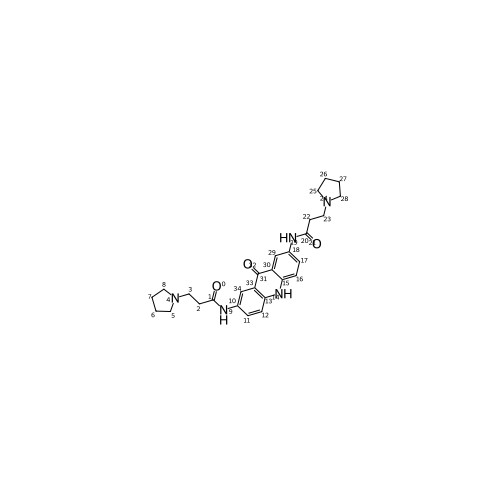 O=C(CCN1CCCC1)Nc1ccc2[nH]c3ccc(NC(=O)CCN4CCCC4)cc3c(=O)c2c1